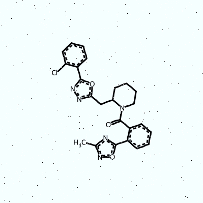 Cc1noc(-c2ccccc2C(=O)N2CCCCC2Cc2nnc(-c3ccccc3Cl)o2)n1